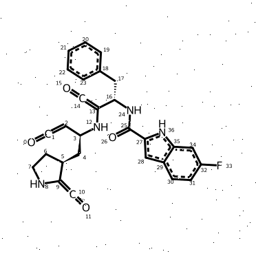 O=C=C[C@H](C[C@@H]1CCNC1=C=O)NC(=C=O)[C@H](Cc1ccccc1)NC(=O)c1cc2ccc(F)cc2[nH]1